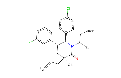 C=CC[C@@]1(C)C[C@H](c2cccc(Cl)c2)[C@@H](c2ccc(Cl)cc2)N(C(CC)CNC)C1=O